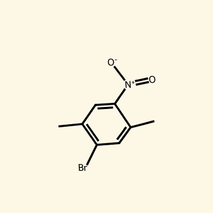 Cc1cc([N+](=O)[O-])c(C)cc1Br